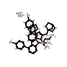 CCc1ccc(-c2cccc3c2C=C(CC24CCC(CC2)C4)[CH]3[Zr]([CH3])(=[SiH2])([CH2]CC(F)(F)F)[CH]2C(CC34CCC(CC3)C4)=Cc3c(-c4ccc(CC)cc4)cccc32)cc1.Cl.Cl